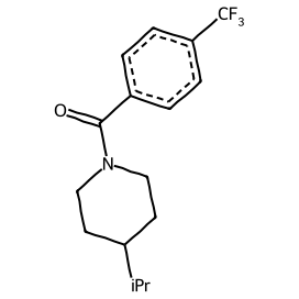 CC(C)C1CCN(C(=O)c2ccc(C(F)(F)F)cc2)CC1